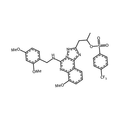 COc1ccc(CNc2nc3c(OC)cccc3c3nc(CC(C)OS(=O)(=O)c4ccc(C(F)(F)F)cc4)nn23)c(OC)c1